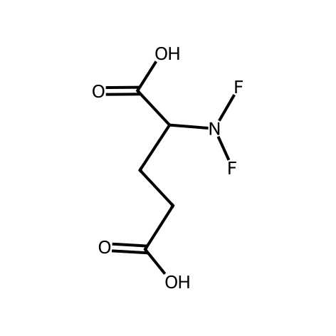 O=C(O)CCC(C(=O)O)N(F)F